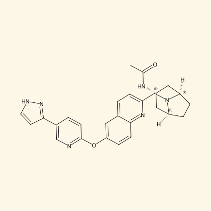 CC(=O)N[C@@H]1C[C@H]2CC[C@@H](C1)N2Cc1ccc2cc(Oc3ccc(-c4cc[nH]n4)cn3)ccc2n1